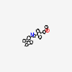 c1ccc2c(c1)-c1ccccc1C21c2ccccc2-c2ccc(-c3ccc(-c4c5ccccc5c(-c5ccc6oc7ccccc7c6c5)c5ccccc45)cn3)cc21